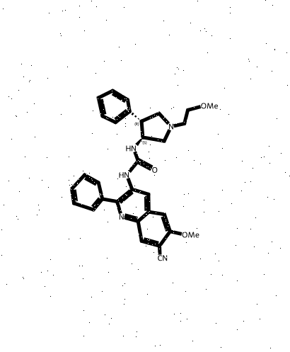 COCCN1C[C@@H](NC(=O)Nc2cc3cc(OC)c(C#N)cc3nc2-c2ccccc2)[C@H](c2ccccc2)C1